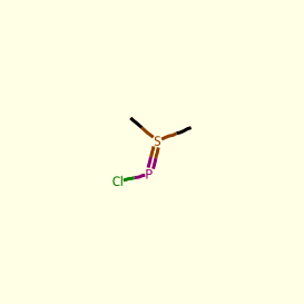 CS(C)=PCl